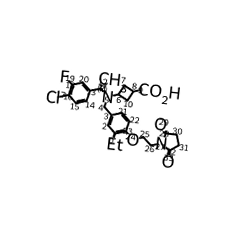 CCc1cc(CN(C2CC(C(=O)O)C2)[C@H](C)c2ccc(Cl)c(F)c2)ccc1OCCN1C(=O)CCC1=O